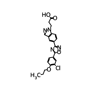 CCCOc1ccc(-c2nc(-c3ccc4c(cnn4CCC(=O)O)c3)no2)cc1Cl